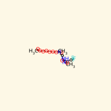 COc1cnc(C(=O)NCc2cccc(CC(=O)N(C)CCOCCOCCOCCOCCOCCOCC(C)=O)c2)cc1/C=C/C1CCC(C(F)(F)F)CC1